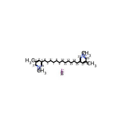 Cc1cc(CCCCCCCCCCCCc2cc(C)c[n+](C)c2)c[n+](C)c1.[I-].[I-]